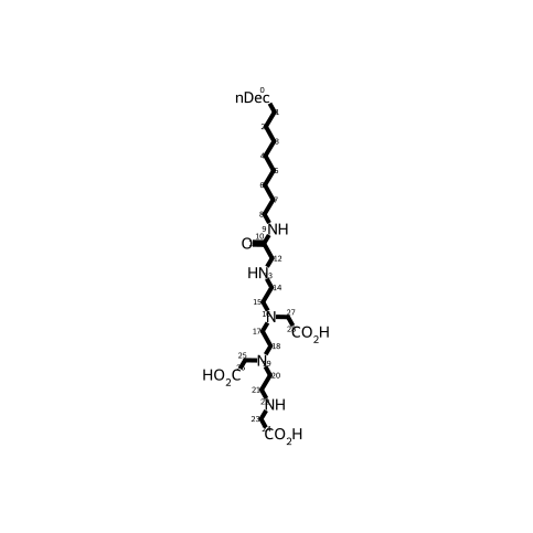 CCCCCCCCCCCCCCCCCCNC(=O)CNCCN(CCN(CCNCC(=O)O)CC(=O)O)CC(=O)O